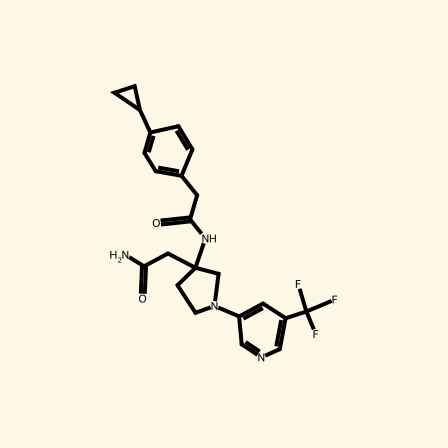 NC(=O)CC1(NC(=O)Cc2ccc(C3CC3)cc2)CCN(c2cncc(C(F)(F)F)c2)C1